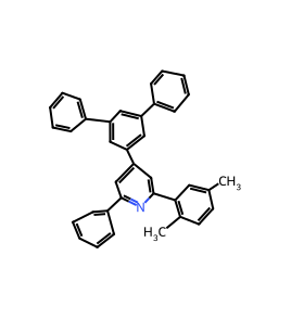 Cc1ccc(C)c(-c2cc(-c3cc(-c4ccccc4)cc(-c4ccccc4)c3)cc(-c3ccccc3)n2)c1